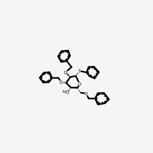 O[C@@H]1[C@H](OCc2ccccc2)[C@@H](OCc2ccccc2)[C@H](Sc2ccccc2)O[C@@H]1COCc1ccccc1